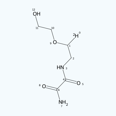 [2H]C(CNC(=O)C(N)=O)OCCO